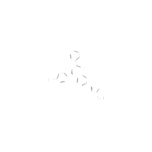 Nc1csc(-c2ccc(-c3c(C(=O)c4ccccc4)sc4cc(O)ccc34)cc2)c1